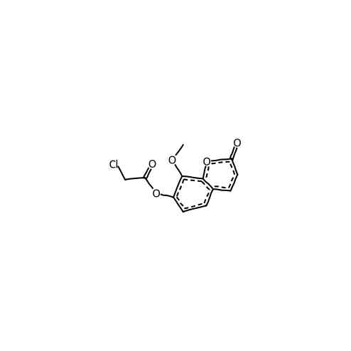 COc1c(OC(=O)CCl)ccc2ccc(=O)oc12